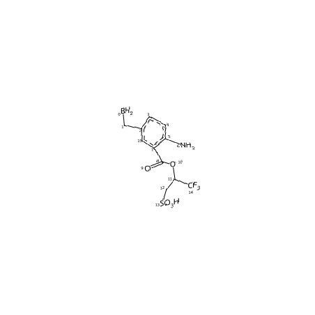 BCc1ccc(N)c(C(=O)OC(CS(=O)(=O)O)C(F)(F)F)c1